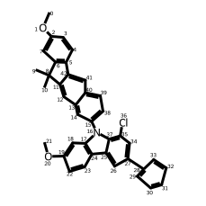 COc1ccc2c(c1)C(C)(C)c1cc3cc(-n4c5cc(OC)ccc5c5cc(-c6ccccc6)cc(Cl)c54)ccc3cc1-2